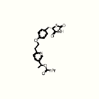 CCCC(=O)OC(C)c1ccc(CCOc2ccc(C[C@@H]3SC(=O)NC3=O)cc2)nc1